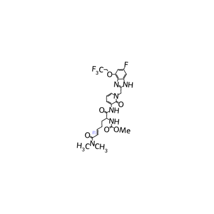 COC(=O)NC(CC/C=C/C(=O)N(C)C)C(=O)Nc1cccn(Cc2nc3c(OCC(F)(F)F)cc(F)cc3[nH]2)c1=O